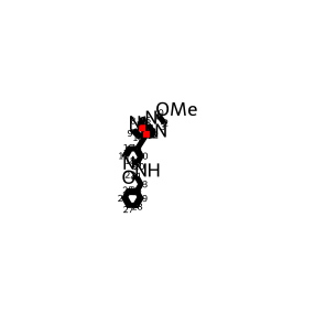 COC1CN2CCN1c1nccc3c2nc(-c2ccnc(NC(=O)Cc4ccccc4)c2)nc13